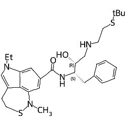 CCn1cc2c3c(cc(C(=O)N[C@@H](Cc4ccccc4)[C@H](O)CNCCSC(C)(C)C)cc31)N(C)SCC2